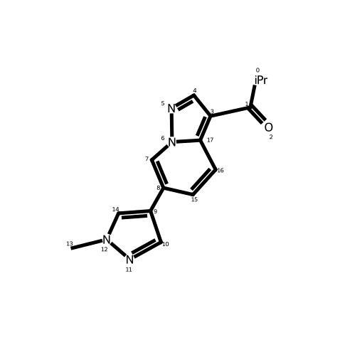 CC(C)C(=O)c1cnn2cc(-c3cnn(C)c3)ccc12